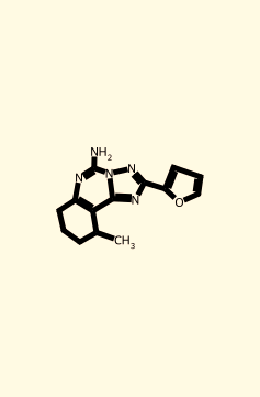 CC1CCCc2nc(N)n3nc(-c4ccco4)nc3c21